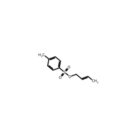 CC=CCOS(=O)(=O)c1ccc(C)cc1